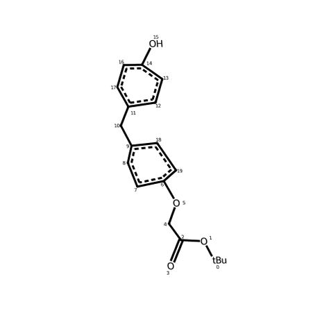 CC(C)(C)OC(=O)COc1ccc(Cc2ccc(O)cc2)cc1